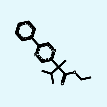 CCOC(=O)C(C)(c1cnc(-c2ccccc2)cn1)C(C)C